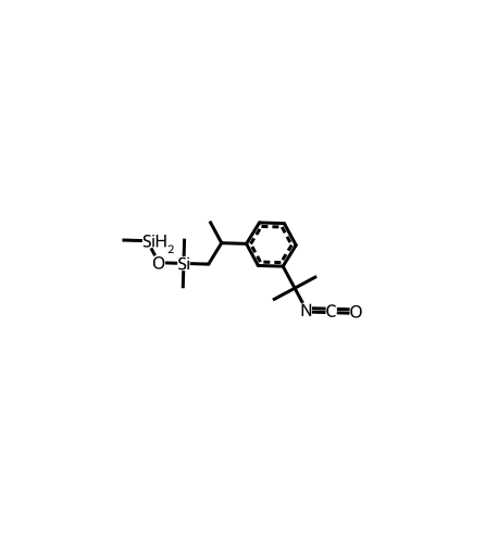 C[SiH2]O[Si](C)(C)CC(C)c1cccc(C(C)(C)N=C=O)c1